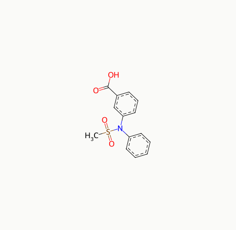 CS(=O)(=O)N(c1ccccc1)c1cccc(C(=O)O)c1